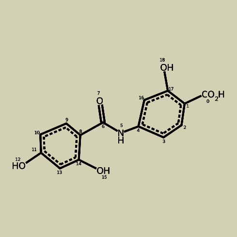 O=C(O)c1ccc(NC(=O)c2ccc(O)cc2O)cc1O